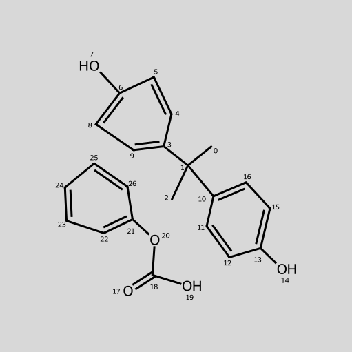 CC(C)(c1ccc(O)cc1)c1ccc(O)cc1.O=C(O)Oc1ccccc1